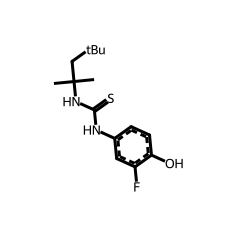 CC(C)(C)CC(C)(C)NC(=S)Nc1ccc(O)c(F)c1